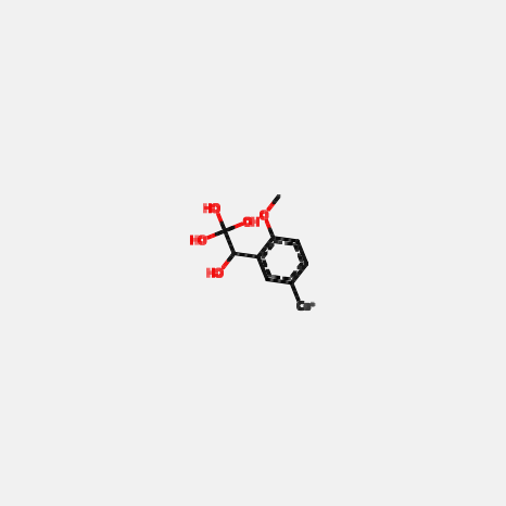 COc1cc[c]([Co+])cc1C(O)C(O)(O)O